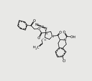 C=CC[C@H]1CN(C(=O)C2Cc3ccc(Cl)cc3CN2C(=O)O)C[C@@]1(N=[N+]=[N-])C(=O)OCC(=O)c1ccccc1